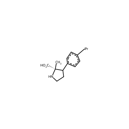 CC(C)c1ccc(C2CCN[C@]2(C)C(=O)O)cc1